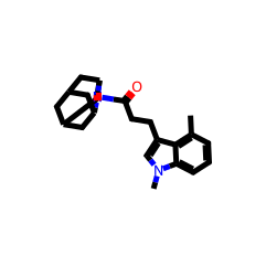 Cc1cccc2c1c(CCC(=O)N1C3CC4CC(C3)CC1C4)cn2C